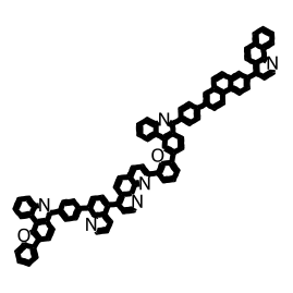 c1ccc2c(c1)ccc1c(-c3ccc4c(ccc5cc(-c6ccc(-c7nc8ccccc8c8c7ccc7c9cccc(-c%10ccc%11ccc%12c(-c%13ccc(-c%14ccc(-c%15nc%16ccccc%16c%16c%15ccc%15c%17ccccc%17oc%15%16)cc%14)c%14ncccc%13%14)ccnc%12c%11n%10)c9oc78)cc6)ccc54)c3)ccnc12